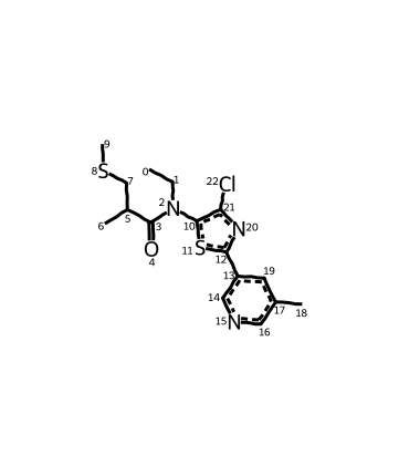 CCN(C(=O)C(C)CSC)c1sc(-c2cncc(C)c2)nc1Cl